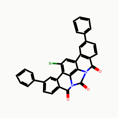 O=c1c2ccc(-c3ccccc3)cc2c2cc(Br)c3c4cc(-c5ccccc5)ccc4c(=O)n4c(=O)n1c2c34